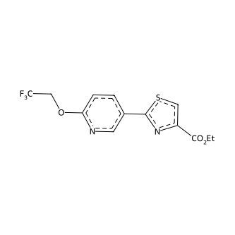 CCOC(=O)c1csc(-c2ccc(OCC(F)(F)F)nc2)n1